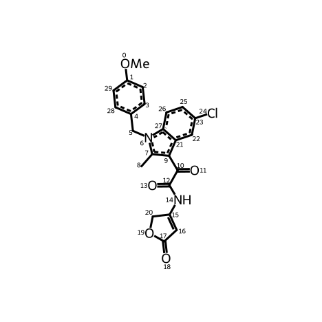 COc1ccc(Cn2c(C)c(C(=O)C(=O)NC3=CC(=O)OC3)c3cc(Cl)ccc32)cc1